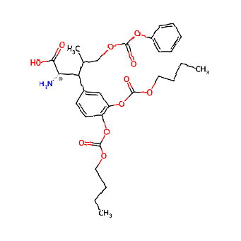 CCCCOC(=O)Oc1ccc(C(C(C)COC(=O)Oc2ccccc2)[C@H](N)C(=O)O)cc1OC(=O)OCCCC